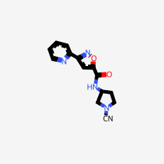 N#CN1CCC(NC(=O)c2cc(-c3ccccn3)no2)C1